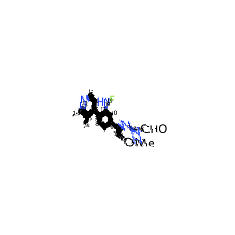 COC/C(=N\NC=O)c1ccc(-c2ccncc2C)c(NF)c1